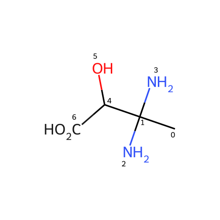 CC(N)(N)C(O)C(=O)O